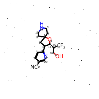 N#Cc1ccc(C2CC3(CCNCC3)O[C@H]2C(CO)C(F)(F)F)nc1